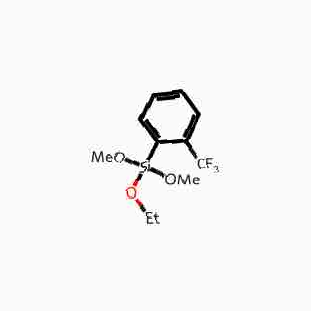 CCO[Si](OC)(OC)c1ccccc1C(F)(F)F